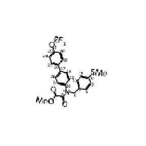 COC(=O)C(=O)N(Cc1ccc(SC)cc1)c1ccc(-c2ccc(OC(F)(F)F)cc2)cc1